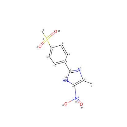 Cc1nc(-c2ccc(S(C)(=O)=O)cc2)[nH]c1[N+](=O)[O-]